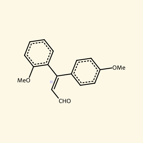 COc1ccc(/C(=C\C=O)c2ccccc2OC)cc1